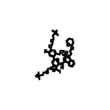 C[Si](C)(C)CCOCOc1cc(CC(F)(F)F)c(-c2cc3c(c(I)nn3COCC[Si](C)(C)C)c(NCc3ccccc3N(CCOC3CCCCO3)S(C)(=O)=O)n2)cc1F